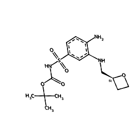 CC(C)(C)OC(=O)NS(=O)(=O)c1ccc(N)c(NC[C@@H]2CCO2)c1